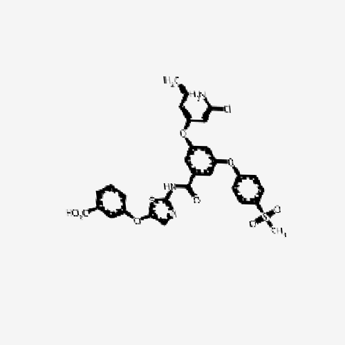 C=C/C=C(\C=C(/N)Cl)Oc1cc(Oc2ccc(S(C)(=O)=O)cc2)cc(C(=O)Nc2ncc(Oc3cccc(C(=O)O)c3)s2)c1